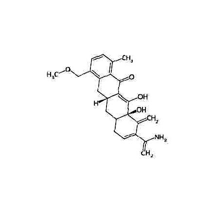 C=C(N)C1=CCC2C[C@@H]3Cc4c(COC)ccc(C)c4C(=O)C3=C(O)[C@]2(O)C1=C